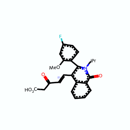 COc1cc(F)ccc1-c1c(/C=C/C(=O)CC(=O)O)c2ccccc2c(=O)n1C(C)C